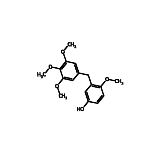 COc1ccc(O)cc1Cc1cc(OC)c(OC)c(OC)c1